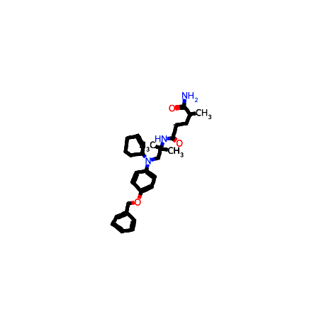 CC(C[CH]C(=O)NC(C)(C)CN(c1ccc(OCc2ccccc2)cc1)C1C=CCCC1)C(N)=O